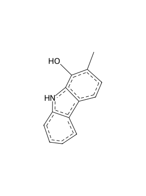 Cc1ccc2c([nH]c3ccccc32)c1O